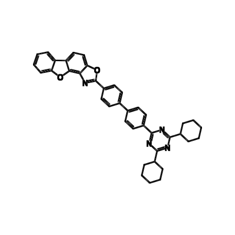 c1ccc2c(c1)oc1c2ccc2oc(-c3ccc(-c4ccc(-c5nc(C6CCCCC6)nc(C6CCCCC6)n5)cc4)cc3)nc21